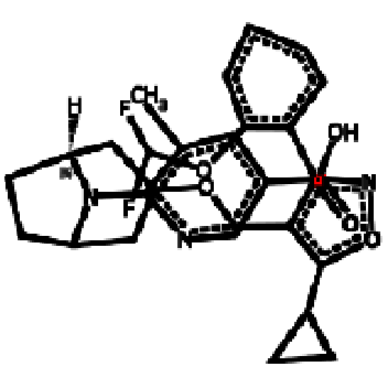 Cc1cc(C(=O)O)cnc1N1C2CC[C@H]1CC(OCc1c(-c3ccccc3OC(F)F)noc1C1CC1)C2